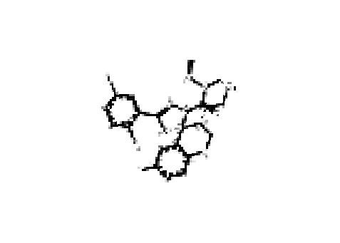 CON(C)C(=O)N1N=C(c2cc(F)ccc2F)S[C@]12c1cc(F)ccc1OC[C@H]2CCN